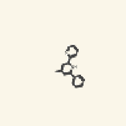 CC1=CC(c2ccccn2)NC(c2ccccc2)=C1